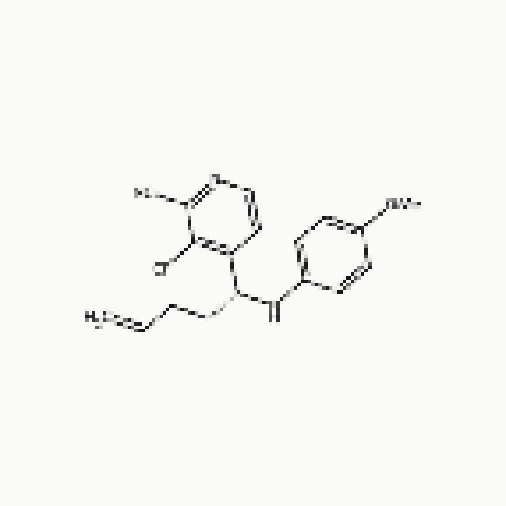 C=CCC[C@@H](Nc1ccc(OC)cc1)c1ccnc(C#N)c1Cl